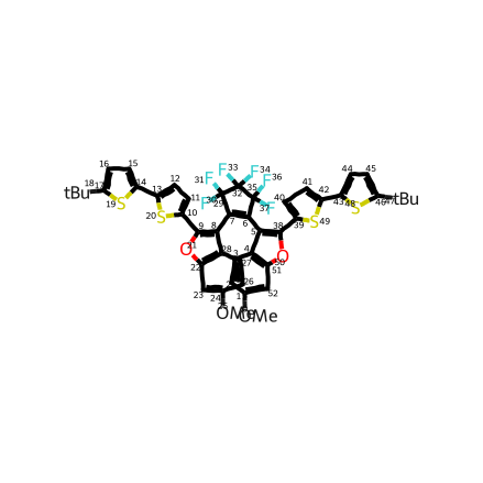 COc1ccc2c(C3=C(c4c(-c5ccc(-c6ccc(C(C)(C)C)s6)s5)oc5cc(OC)ccc45)C(F)(F)C(F)(F)C3(F)F)c(-c3ccc(-c4ccc(C(C)(C)C)s4)s3)oc2c1